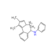 CC1=CC(C)C(c2ccccc2C(C)Nc2ccccc2)=C1C